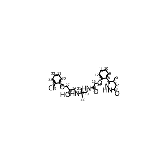 CC1CC(=O)NN=C1c1ccccc1OCC(=O)NCC(C)(C)NCC(O)COc1ccccc1Cl